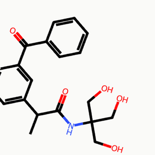 CC(C(=O)NC(CO)(CO)CO)c1cccc(C(=O)c2ccccc2)c1